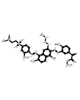 COc1ccc(C(=S)C(=O)OS(=O)(=O)O)cc1N=Nc1c(SOOO)cc2c(N=Nc3ccc(S(=O)(=O)CCN(C)N=O)cc3S(=O)(=O)O)c(N)ccc2c1O